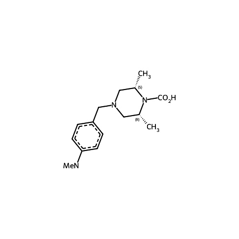 CNc1ccc(CN2C[C@@H](C)N(C(=O)O)[C@@H](C)C2)cc1